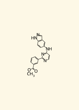 COC(=O)c1cccc(-c2nccc(Nc3ccc4[nH]ncc4c3)n2)c1